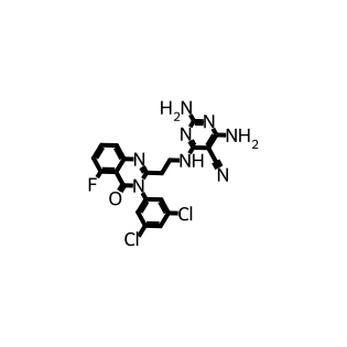 N#Cc1c(N)nc(N)nc1NCCc1nc2cccc(F)c2c(=O)n1-c1cc(Cl)cc(Cl)c1